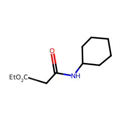 CCOC(=O)CC(=O)NC1CCCCC1